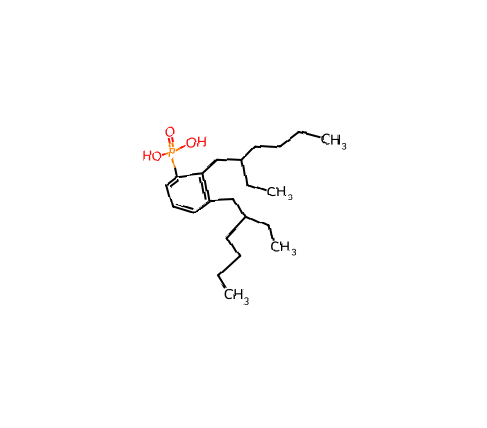 CCCCC(CC)Cc1cccc(P(=O)(O)O)c1CC(CC)CCCC